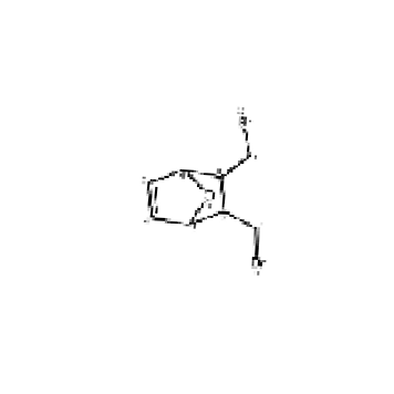 BrCC1C2C=CC(O2)C1CBr